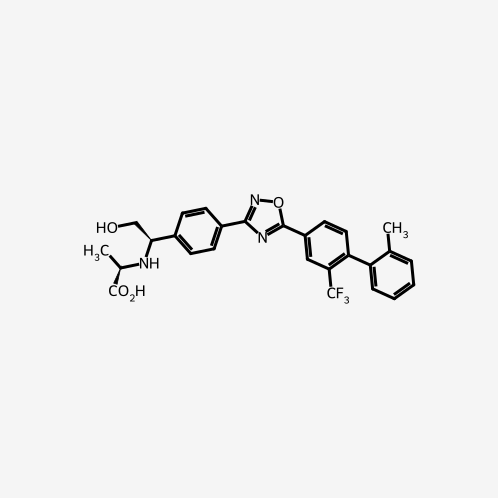 Cc1ccccc1-c1ccc(-c2nc(-c3ccc([C@H](CO)N[C@H](C)C(=O)O)cc3)no2)cc1C(F)(F)F